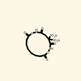 O=C1CC(S(=O)(=O)O)(S(=O)(=O)O)C(=O)NOC(=O)CCCCCCC(=O)ON1